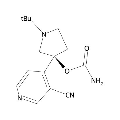 CC(C)(C)N1CC[C@](OC(N)=O)(c2ccncc2C#N)C1